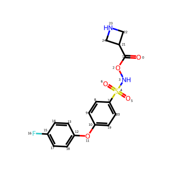 O=C(ONS(=O)(=O)c1ccc(Oc2ccc(F)cc2)cc1)C1CNC1